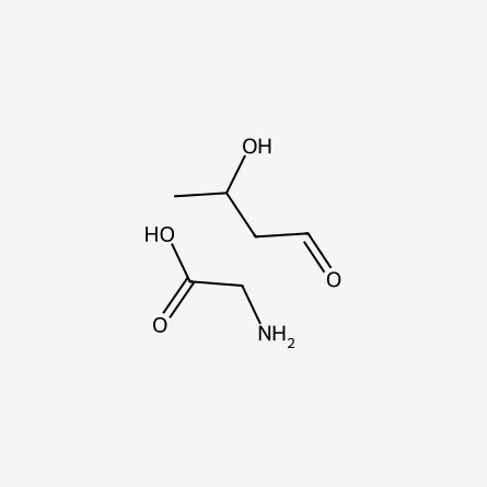 CC(O)CC=O.NCC(=O)O